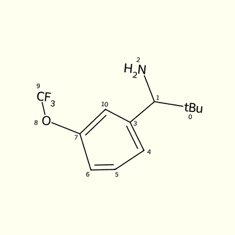 CC(C)(C)C(N)c1cccc(OC(F)(F)F)c1